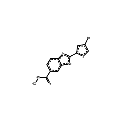 O=C(NO)c1ccc2nc(-c3cc(Br)cs3)[nH]c2c1